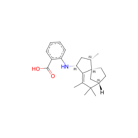 CC1=C2[C@H](Nc3ccccc3C(=O)O)C[C@H](C)[C@]23CC[C@@H](C3)C1(C)C